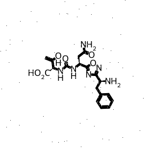 C=C(O)[C@H](NC(=O)N[C@@H](CC(N)=O)c1nc([C@@H](N)Cc2ccccc2)no1)C(=O)O